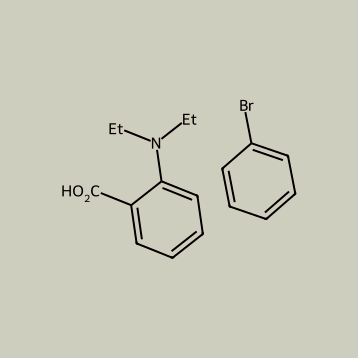 Brc1ccccc1.CCN(CC)c1ccccc1C(=O)O